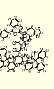 Cc1ncsc1/C=C\C1=C(C(=O)OC(c2ccccc2)c2ccccc2)N2C(=O)[C@@H](NC(=O)/C(=N\OC(c3ccccc3)(c3ccccc3)c3ccccc3)c3nc(NC(c4ccccc4)(c4ccccc4)c4ccccc4)sc3Cl)[C@H]2CC1